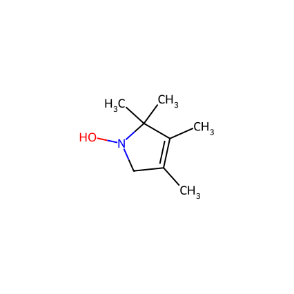 CC1=C(C)C(C)(C)N(O)C1